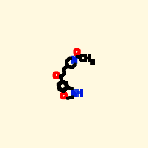 CC(=O)N1CCC(CCC(=O)c2ccc3c(c2)CNCCO3)CC1